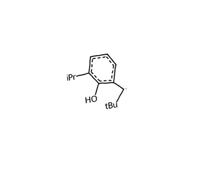 CC(C)c1cccc([CH]C(C)(C)C)c1O